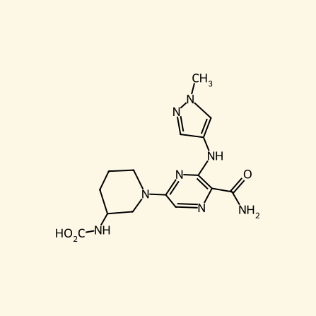 Cn1cc(Nc2nc(N3CCCC(NC(=O)O)C3)cnc2C(N)=O)cn1